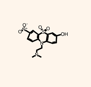 CN(C)CCN1c2ccc(O)cc2S(=O)(=O)c2cc([N+](=O)[O-])ccc21